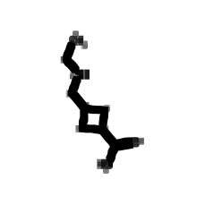 CCNCC1CC(C(=O)O)C1